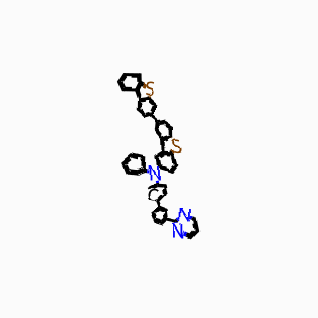 c1ccc(N(c2ccc(-c3cccc(-c4ncccn4)c3)cc2)c2ccc3sc4ccc(-c5ccc6c(c5)sc5ccccc56)cc4c3c2)cc1